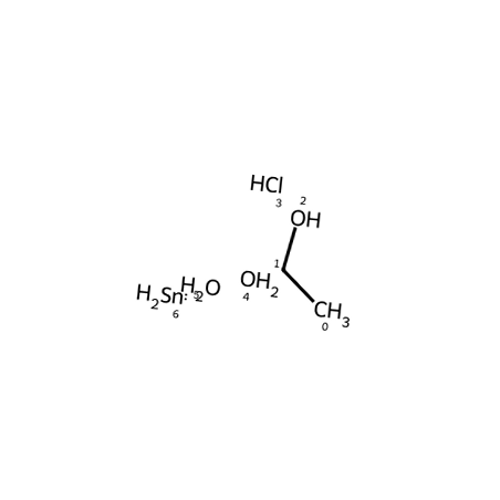 CCO.Cl.O.O.[SnH2]